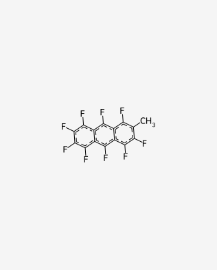 Cc1c(F)c(F)c2c(F)c3c(F)c(F)c(F)c(F)c3c(F)c2c1F